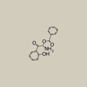 NC(OC(=O)c1ccccc1)C(=O)c1ccccc1O